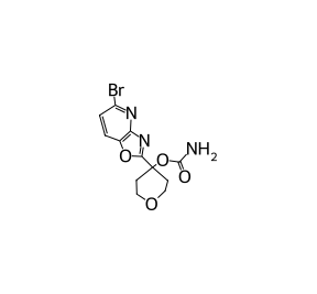 NC(=O)OC1(c2nc3nc(Br)ccc3o2)CCOCC1